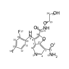 NC(=O)c1cncc2c(Nc3ccc(I)cc3F)c(C(=O)NOCCO)oc12